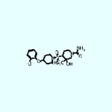 NC(=O)N1CCC(S(=O)(=O)N2CCC(Oc3ccccc3Cl)CC2)C(O)(C(=O)O)C1